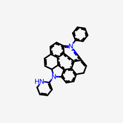 C1=CCNC(N2c3ccc4c5c3c3c6c(ccc7c6c5c(n7-c5ccccc5)=CC4)C=CC32)=C1